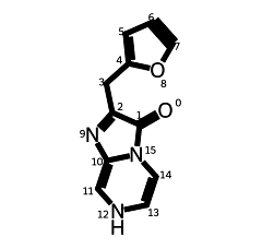 O=c1c(Cc2cc#co2)nc2c[nH]ccn1-2